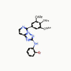 COc1cc(-c2nccc3nc(Nc4ccccc4Br)nn23)cc(OC)c1OC